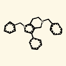 c1ccc(CN2CCc3c(c(-c4ccccc4)cn3Cc3ccccc3)C2)cc1